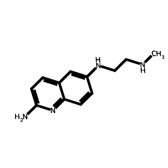 CNCCNc1ccc2nc(N)ccc2c1